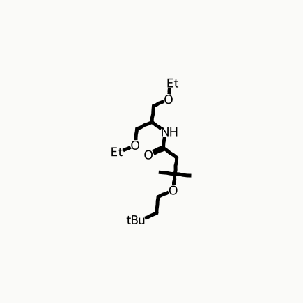 CCOCC(COCC)NC(=O)CC(C)(C)OCCC(C)(C)C